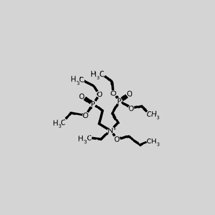 CCCO[N+](CC)(CCP(=O)(OCC)OCC)CCP(=O)(OCC)OCC